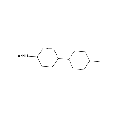 CC(=O)NC1CCC(C2CCC(C)CC2)CC1